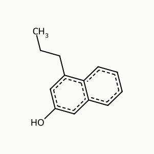 CCCc1cc(O)cc2ccccc12